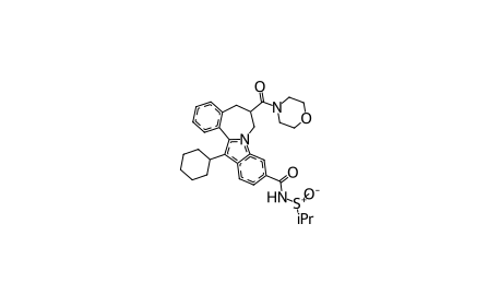 CC(C)[S+]([O-])NC(=O)c1ccc2c(C3CCCCC3)c3n(c2c1)CC(C(=O)N1CCOCC1)Cc1ccccc1-3